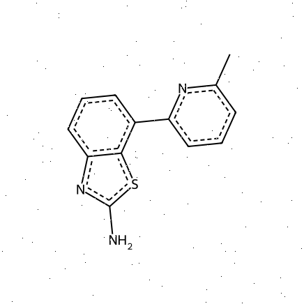 Cc1cccc(-c2cccc3nc(N)sc23)n1